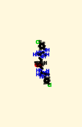 N=C(NCCCCCCNC(=N)NC(=N)Nc1ccc(Cl)cc1)NC(=N)Nc1ccc(Cl)cc1.O=S(=O)(O)O.O=S(=O)(O)O